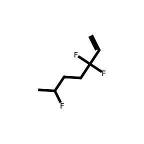 C=CC(F)(F)CCC(C)F